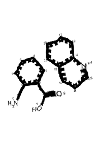 Nc1ccccc1C(=O)O.c1ccc2ncccc2c1